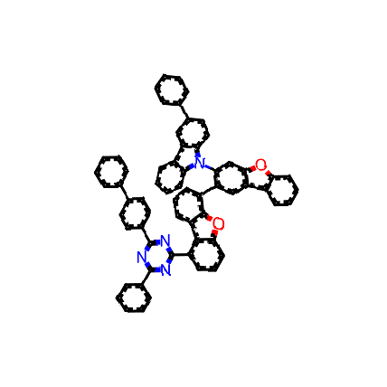 c1ccc(-c2ccc(-c3nc(-c4ccccc4)nc(-c4cccc5oc6c(-c7cc8c(cc7-n7c9ccccc9c9cc(-c%10ccccc%10)ccc97)oc7ccccc78)cccc6c45)n3)cc2)cc1